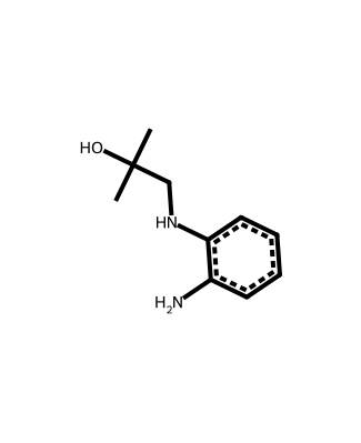 CC(C)(O)CNc1ccccc1N